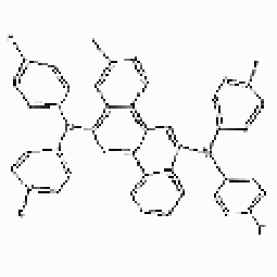 Cc1ccc2c(c1)c(N(c1ccc(F)cc1)c1ccc(F)cc1)cc1c3ccccc3c(N(c3ccc(F)cc3)c3ccc(F)cc3)cc21